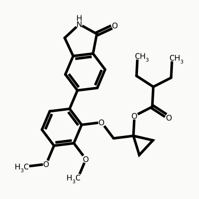 CCC(CC)C(=O)OC1(COc2c(-c3ccc4c(c3)CNC4=O)ccc(OC)c2OC)CC1